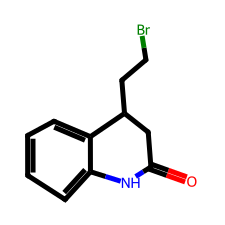 O=C1CC(CCBr)c2ccccc2N1